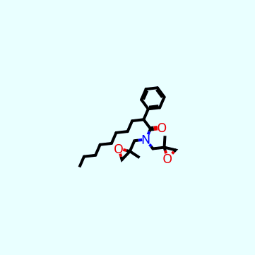 CCCCCCCCC(C(=O)N(CC1(C)CO1)CC1(C)CO1)c1ccccc1